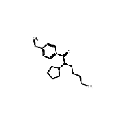 CCCCCC(C(=O)c1ccc(OC)cc1)N1CCCC1